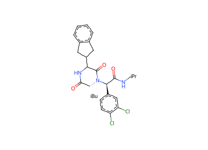 CC[C@H](C)[C@@H]1C(=O)NC(C2Cc3ccccc3C2)C(=O)N1[C@@H](C(=O)NC(C)C)c1ccc(Cl)c(Cl)c1